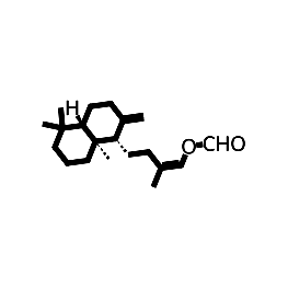 C=C1CC[C@H]2C(C)(C)CCC[C@]2(C)[C@H]1CC/C(C)=C\OC=O